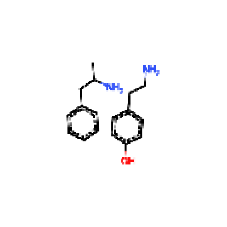 CC(N)Cc1ccccc1.NCCc1ccc(O)cc1